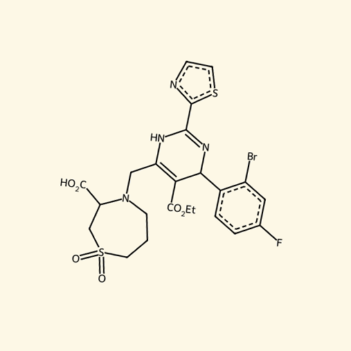 CCOC(=O)C1=C(CN2CCCS(=O)(=O)CC2C(=O)O)NC(c2nccs2)=NC1c1ccc(F)cc1Br